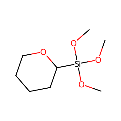 CO[Si](OC)(OC)C1CCCCO1